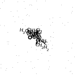 C=CCCNC(=O)C(=O)C(CCC=C)NC(=O)[C@@H]1[C@H]2[C@@H](CN1C(=O)C(NC(=O)NC(C)(C)C)C1CCCCC1)C2(Cl)Cl